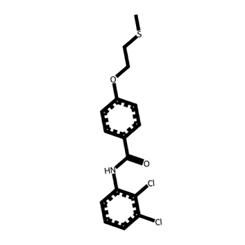 CSCCOc1ccc(C(=O)Nc2cccc(Cl)c2Cl)cc1